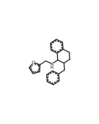 c1ccc(CC2CCc3ccccc3C2NCc2ccco2)cc1